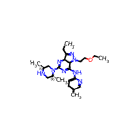 CCOCCN1N=C(CC)C2N=C(N3C[C@H](C)NC[C@H]3C)N=C(NC3=CCC(C)C=N3)C21